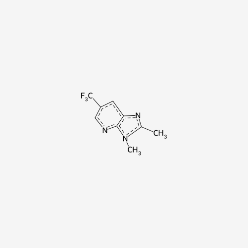 Cc1nc2cc(C(F)(F)F)cnc2n1C